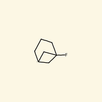 FC12CCC[C](C1)C2